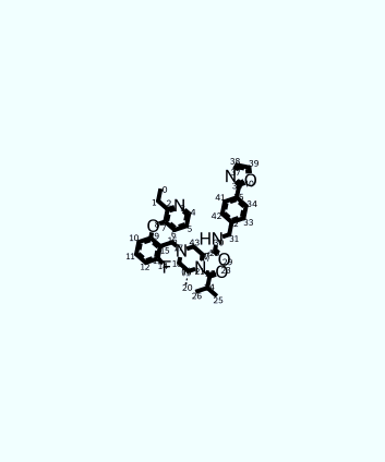 CCc1ncccc1Oc1cccc(F)c1CN1C[C@@H](C)N(C(=O)C(C)C)[C@@H](C(=O)NCc2ccc(-c3ncco3)cc2)C1